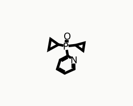 O=P(c1ccccn1)(C1CC1)C1CC1